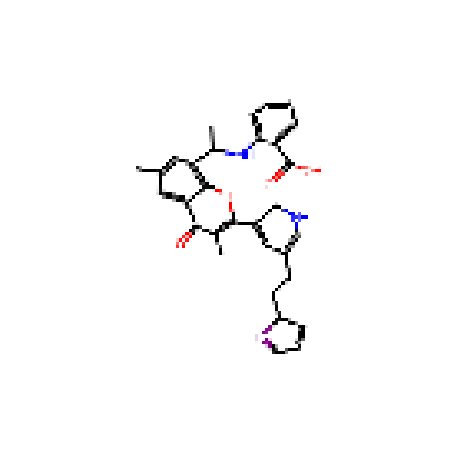 Cc1cc(C(C)Nc2ccccc2C(=O)O)c2oc(C3=CC(CCC4C=CC=P4)=CNC3)c(C)c(=O)c2c1